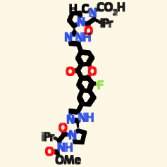 COC(=O)N[C@H](C(=O)N1CCC[C@H]1c1ncc(-c2ccc3c(F)c4oc5ccc(-c6cnc([C@@H]7CCCN7C(=O)[C@H](C(C)C)N(C)C(=O)O)[nH]6)cc5c(=O)c4cc3c2)[nH]1)C(C)C